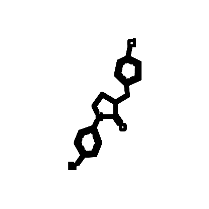 O=C1C(Cc2ccc(Cl)cc2)CCN1c1ccc(Br)cc1